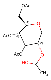 CC(=O)OC[C@H]1OC[C@H](OC(C)O)C(OC(C)=O)[C@@H]1OC(C)=O